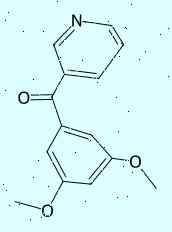 COc1cc(OC)cc(C(=O)c2cccnc2)c1